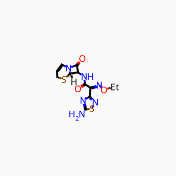 CCON=C(C(=O)NC1C(=O)N2C=CCS[C@@H]12)c1nsc(N)n1